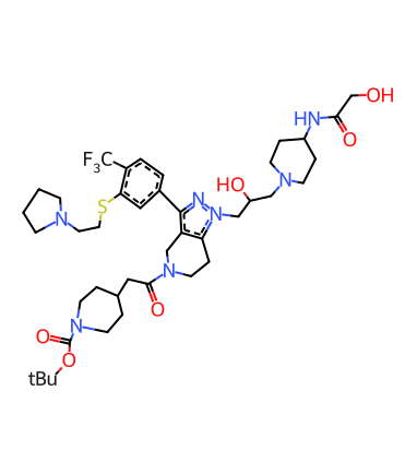 CC(C)(C)OC(=O)N1CCC(CC(=O)N2CCc3c(c(-c4ccc(C(F)(F)F)c(SCCN5CCCC5)c4)nn3CC(O)CN3CCC(NC(=O)CO)CC3)C2)CC1